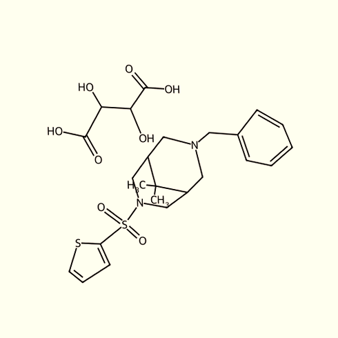 CC1(C)C2CN(Cc3ccccc3)CC1CN(S(=O)(=O)c1cccs1)C2.O=C(O)C(O)C(O)C(=O)O